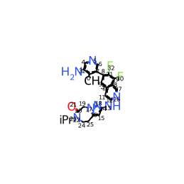 Cc1c(N)cncc1-c1cc2cc(Nc3cc4n(n3)CC(=O)N(C(C)C)CC4)ncc2c(F)c1F